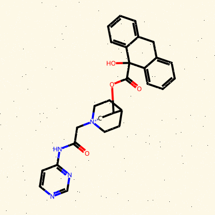 O=C(C[N+]12CCC(CC1)C(OC(=O)C1(O)c3ccccc3Cc3ccccc31)C2)Nc1ccncn1